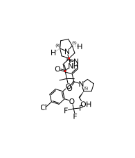 CC(C)(Oc1ccc(Cl)cc1OC(F)(F)F)C(=O)N[C@H]1C[C@H]2CC[C@@H](C1)N2c1ccc(C(=O)N2CCC[C@H]2CO)cn1